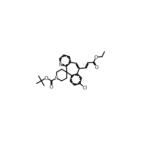 CCOC(=O)/C=C/C1=Cc2cccnc2C2(CCN(C(=O)OC(C)(C)C)CC2)c2ccc(Cl)cc21